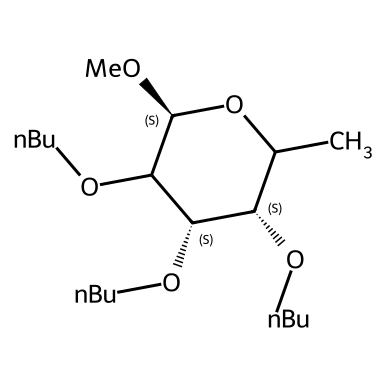 CCCCOC1[C@@H](OC)OC(C)[C@H](OCCCC)[C@@H]1OCCCC